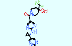 O=C(c1cnc(NC2(c3cncnc3)CC2)nc1)N1CCC(O)(C(F)(F)F)CC1